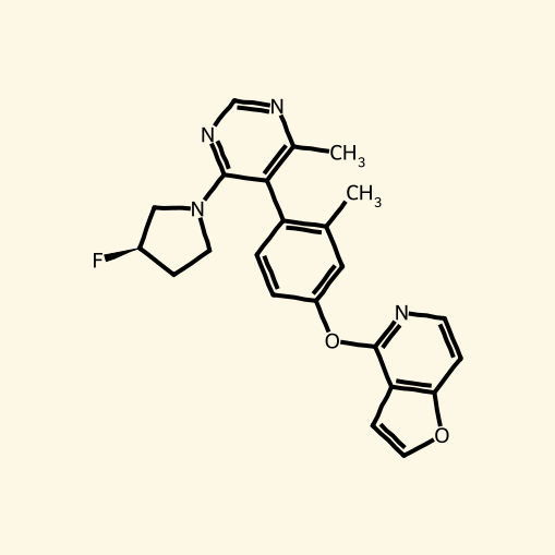 Cc1cc(Oc2nccc3occc23)ccc1-c1c(C)ncnc1N1CC[C@@H](F)C1